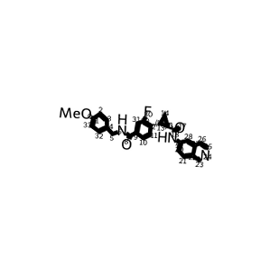 COc1ccc(CNC(=O)c2ccc([C@@H]3C[C@H]3C(=O)Nc3ccc4cnccc4c3)c(F)c2)cc1